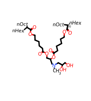 CCCCCCCCC(CCCCCC)C(=O)OCCCCCC(=O)OCC(CN(C)CC(O)CO)OC(=O)CCCCCOC(=O)[C@@H](CCCCCC)CCCCCCCC